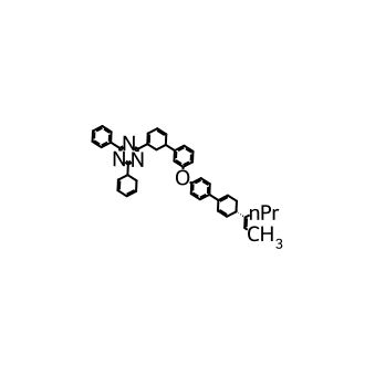 C/C=C(\CCC)[C@@H]1C=CC(c2ccc(Oc3cccc(C4C=CC=C(c5nc(-c6ccccc6)nc(C6C=CC=CC6)n5)C4)c3)cc2)=CC1